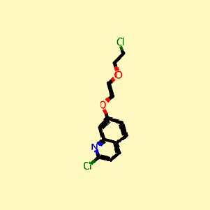 ClCCOCCOc1ccc2ccc(Cl)nc2c1